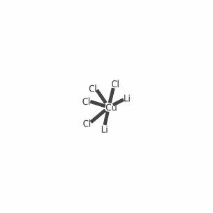 [Li][Cu]([Li])([Cl])([Cl])([Cl])[Cl]